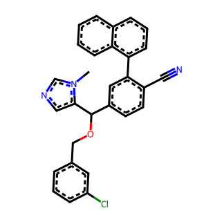 Cn1cncc1C(OCc1cccc(Cl)c1)c1ccc(C#N)c(-c2cccc3ccccc23)c1